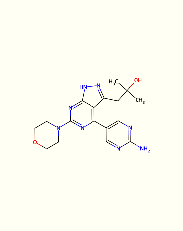 CC(C)(O)Cc1n[nH]c2nc(N3CCOCC3)nc(-c3cnc(N)nc3)c12